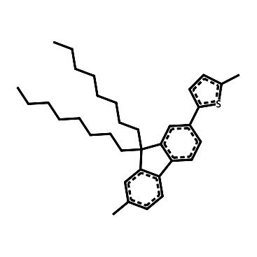 CCCCCCCCC1(CCCCCCCC)c2cc(C)ccc2-c2ccc(-c3ccc(C)s3)cc21